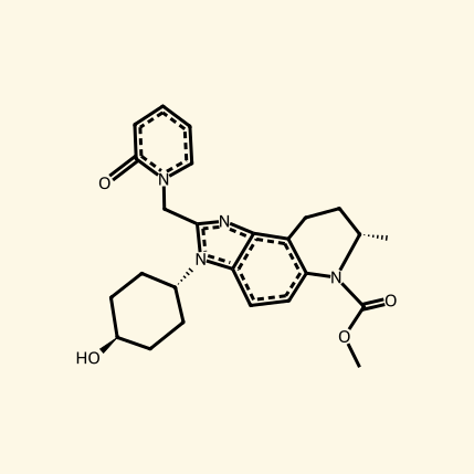 COC(=O)N1c2ccc3c(nc(Cn4ccccc4=O)n3[C@H]3CC[C@H](O)CC3)c2CC[C@@H]1C